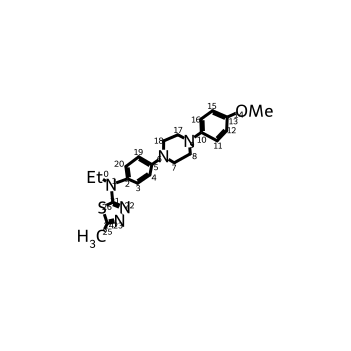 CCN(c1ccc(N2CCN(c3ccc(OC)cc3)CC2)cc1)c1nnc(C)s1